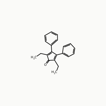 CCC1=C(c2ccccc2)C(c2ccccc2)=C(CC)C1=O